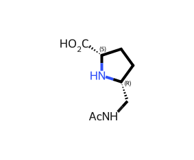 CC(=O)NC[C@H]1CC[C@@H](C(=O)O)N1